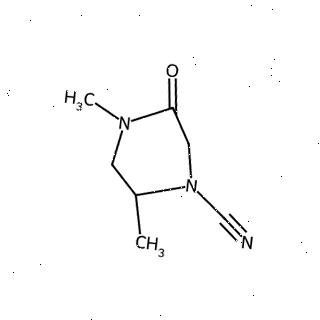 CC1CN(C)C(=O)CN1C#N